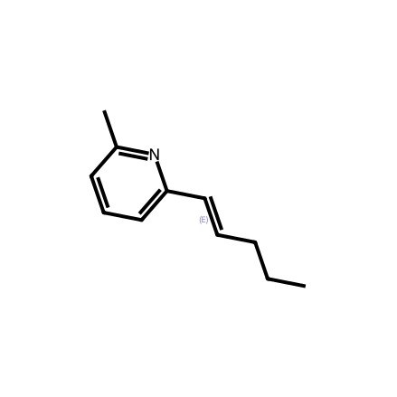 CCC/C=C/c1cccc(C)n1